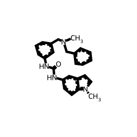 CN(Cc1ccccc1)Cc1cccc(NC(=O)Nc2ccc3c(ccn3C)c2)c1